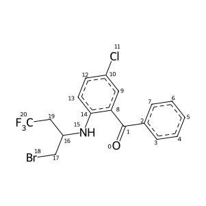 O=C(c1ccccc1)c1cc(Cl)ccc1NC(CBr)CC(F)(F)F